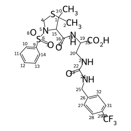 CC1(C)SCN(S(=O)(=O)c2ccccc2)C1C(=O)NC(CNC(=O)NCc1ccc(C(F)(F)F)cc1)C(=O)O